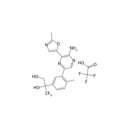 Cc1ncc(-c2nc(-c3cc(C(O)(CO)C(F)(F)F)ccc3C)cnc2N)o1.O=C(O)C(F)(F)F